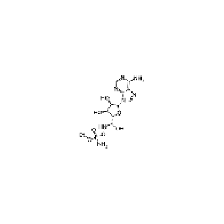 CCOP(N)(=O)ONC(O)[C@H]1O[C@@H](n2cnc3c(N)ncnc32)[C@H](O)[C@@H]1O